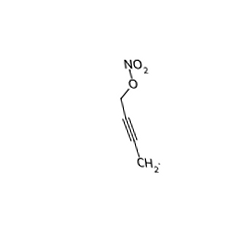 [CH2]C#CCO[N+](=O)[O-]